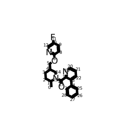 CC1CCC(COc2ccc(F)cn2)CN1C(=O)c1ncccc1-c1ccccc1